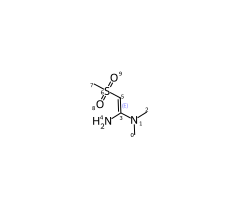 CN(C)/C(N)=C/S(C)(=O)=O